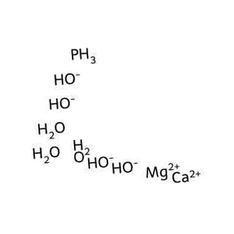 O.O.O.P.[Ca+2].[Mg+2].[OH-].[OH-].[OH-].[OH-]